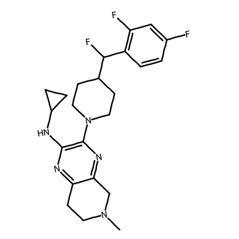 CN1CCc2nc(NC3CC3)c(N3CCC(C(F)c4ccc(F)cc4F)CC3)nc2C1